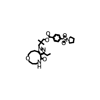 CCc1nn(CC(C)(C)COC(=O)c2ccc(S(=O)(=O)N3CCCC3)cc2)c2c1C(=O)NCCCOCCC2